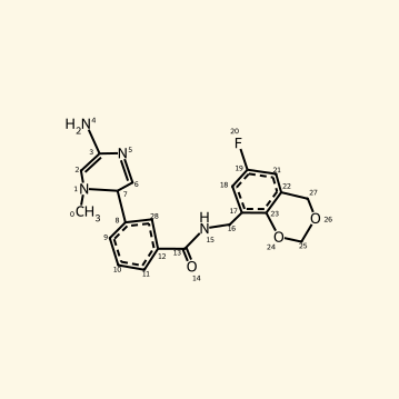 CN1C=C(N)N=CC1c1cccc(C(=O)NCc2cc(F)cc3c2OCOC3)c1